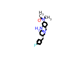 CC(=O)N(C)[C@@H]1CC[C@@H](CN2CCC[C@@H](Cc3ccc(F)cc3)C2)[C@H](N)C1